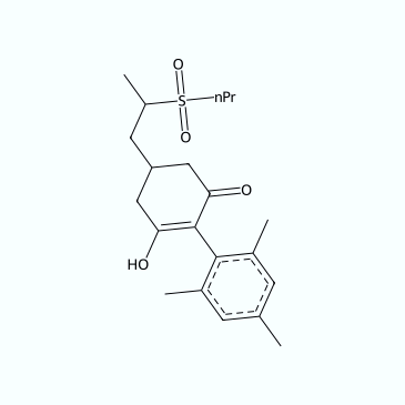 CCCS(=O)(=O)C(C)CC1CC(=O)C(c2c(C)cc(C)cc2C)=C(O)C1